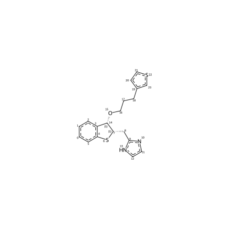 c1ccc2c(c1)S[C@@H](Cc1ncc[nH]1)[C@H]2OCCCc1ccsc1